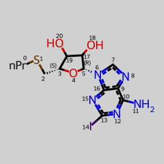 CCCSC[C@H]1O[C@@H](n2cnc3c(N)nc(I)nc32)C(O)C1O